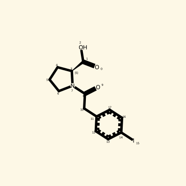 O=C(O)[C@@H]1CCCN1C(=O)Cc1ccc(I)cc1